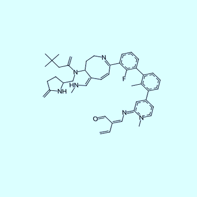 C=C/C(C=O)=C/N=c1/cc(-c2cccc(-c3cccc(C4=N/CCC(N(CC5CCC(=C)N5)C(=C)CC(C)(C)C)C(=C\NC)/C=C\4)c3F)c2C)ccn1C